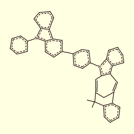 CC1(C)C2=Cc3c(c4ccccc4n3-c3ccc(-c4ccc5c(c4)c4ccccc4n5-c4ccccc4)cc3)C=C(C2)c2ccccc21